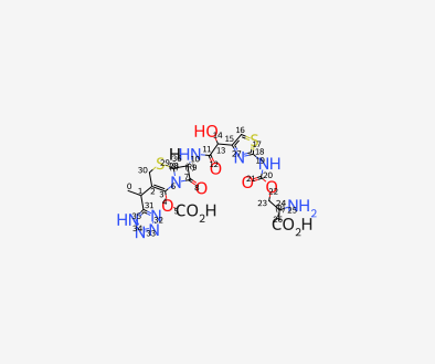 CC(C1=C(OC(=O)O)N2C(=O)[C@@H](NC(=O)C(O)c3csc(NC(=O)OC[C@@H](N)C(=O)O)n3)[C@@H]2SC1)c1nnn[nH]1